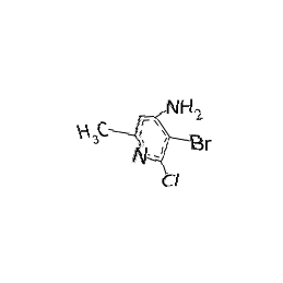 Cc1cc(N)c(Br)c(Cl)n1